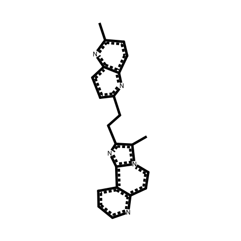 Cc1ccc2nc(CCc3nc4c5cccnc5ccn4c3C)ccc2n1